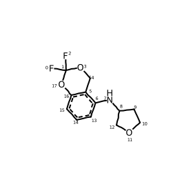 FC1(F)O[CH]c2c(NC3CCOC3)cccc2O1